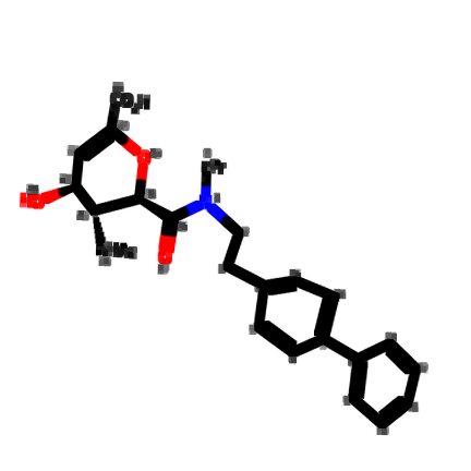 CCCN(CCc1ccc(-c2ccccc2)cc1)C(=O)[C@@H]1OC(C(=O)O)=C[C@H](O)[C@H]1NC(C)=O